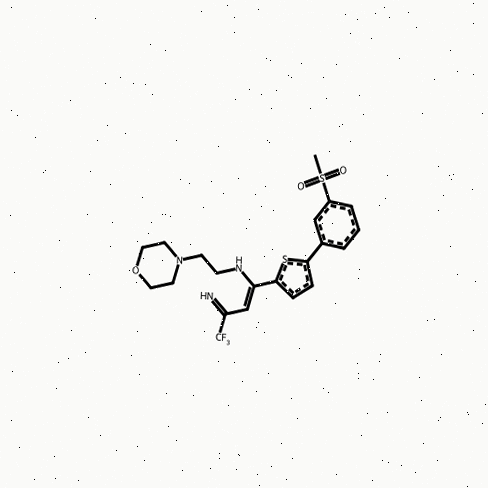 CS(=O)(=O)c1cccc(-c2ccc(/C(=C/C(=N)C(F)(F)F)NCCN3CCOCC3)s2)c1